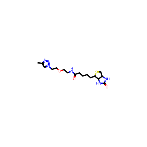 Cc1cn(CCOCCNC(=O)CCCCC2SCC3NC(=O)NC32)nn1